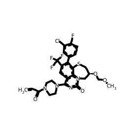 C=CC(=O)N1CCN(c2nc(=O)n3c4c(c(-c5ccc(F)c(Cl)c5)c(C(F)(F)F)cc24)SC[C@@H](OCOC)C3)CC1